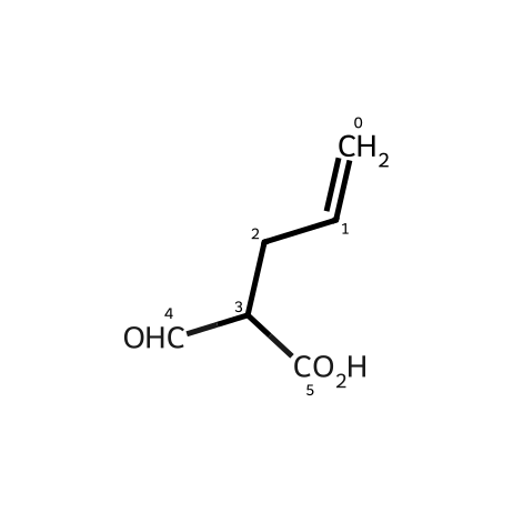 C=CCC(C=O)C(=O)O